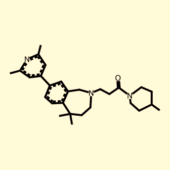 Cc1cc(-c2ccc3c(c2)CN(CCC(=O)N2CCC(C)CC2)CCC3(C)C)cc(C)n1